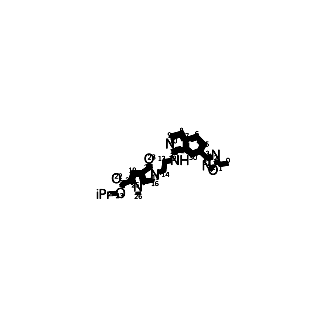 Cc1nc(-c2ccc3ccnc(NCCN4Cc5c(cc(C(=O)OC(C)C)n5C)C4=O)c3c2)no1